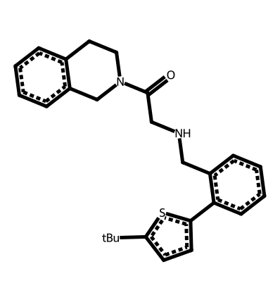 CC(C)(C)c1ccc(-c2ccccc2CNCC(=O)N2CCc3ccccc3C2)s1